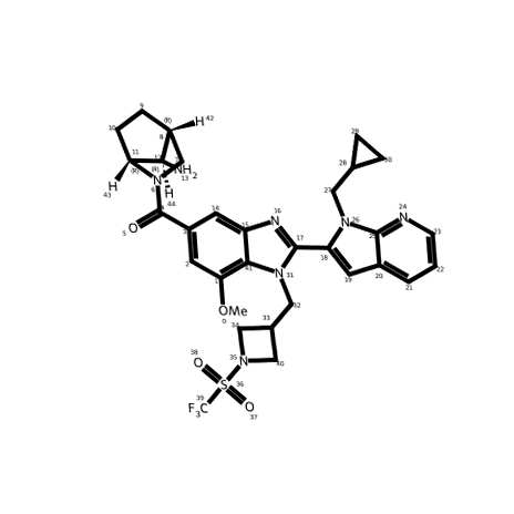 COc1cc(C(=O)N2C[C@H]3CC[C@@H]2[C@@H]3N)cc2nc(-c3cc4cccnc4n3CC3CC3)n(CC3CN(S(=O)(=O)C(F)(F)F)C3)c12